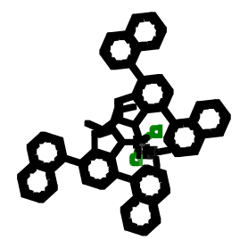 CCC1=Cc2c(-c3cccc4ccccc34)ccc(-c3cccc4ccccc34)c2[CH]1[Zr]([Cl])([Cl])([CH]1C(CC)=Cc2c(-c3cccc4ccccc34)ccc(-c3cccc4ccccc34)c21)[SiH](C)C